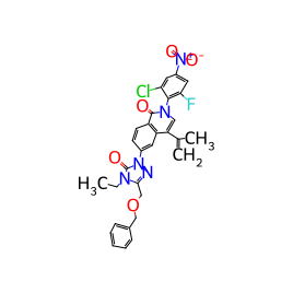 C=C(C)c1cn(-c2c(F)cc([N+](=O)[O-])cc2Cl)c(=O)c2ccc(-n3nc(COCc4ccccc4)n(CC)c3=O)cc12